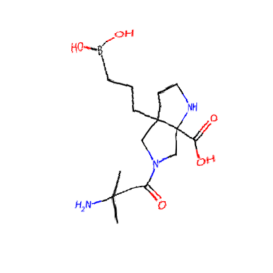 CC(C)(N)C(=O)N1CC2(CCCB(O)O)CCNC2(C(=O)O)C1